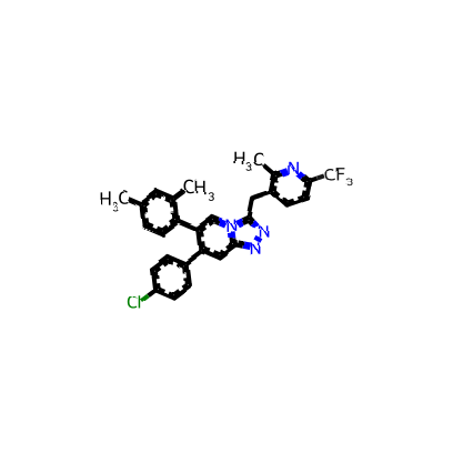 Cc1ccc(-c2cn3c(Cc4ccc(C(F)(F)F)nc4C)nnc3cc2-c2ccc(Cl)cc2)c(C)c1